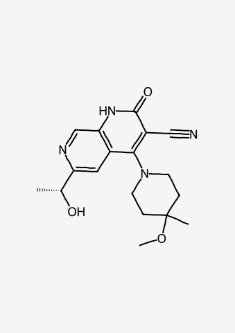 COC1(C)CCN(c2c(C#N)c(=O)[nH]c3cnc([C@@H](C)O)cc23)CC1